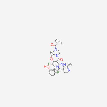 C=CC(=O)N1CCN2C(=O)c3c(Nc4c(C)ccnc4C(C)C)nc(-c4c(O)cccc4F)c(F)c3OC[C@H]2C1